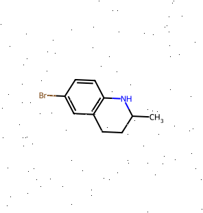 CC1CCc2cc(Br)ccc2N1